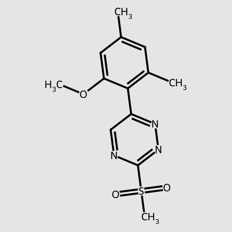 COc1cc(C)cc(C)c1-c1cnc(S(C)(=O)=O)nn1